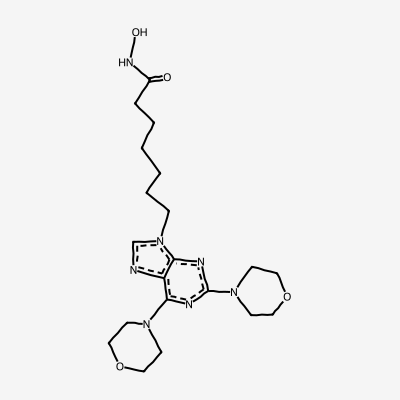 O=C(CCCCCCn1cnc2c(N3CCOCC3)nc(N3CCOCC3)nc21)NO